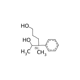 CC(O)[C@@](C)(CCCO)c1ccccc1